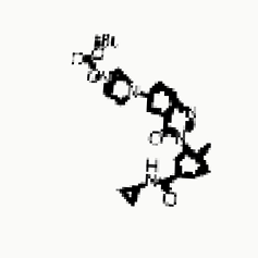 Cc1ccc(C(=O)NC2CC2)cc1-n1cnc2ccc(N3CC4CC3CN4OC(=O)OC(C)(C)C)cc2c1=O